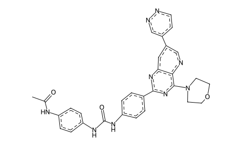 CC(=O)Nc1ccc(NC(=O)Nc2ccc(-c3nc(N4CCOCC4)c4ncc(-c5ccnnc5)cc4n3)cc2)cc1